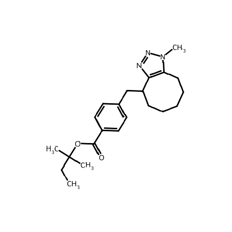 CCC(C)(C)OC(=O)c1ccc(CC2CCCCCc3c2nnn3C)cc1